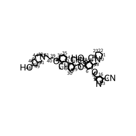 Cc1c(COc2cc(OCc3cncc(C#N)c3)c(CN3CCCC[C@H]3C(=O)O)cc2Cl)cccc1-c1cccc(OCCCN2CCC3CC(O)CC3C2)c1C